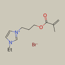 C=C(C)C(=O)OCCC[n+]1ccn(CC)c1.[Br-]